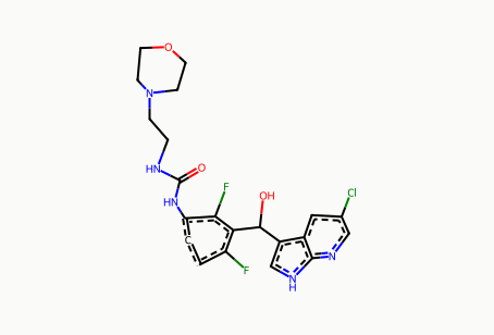 O=C(NCCN1CCOCC1)Nc1ccc(F)c(C(O)c2c[nH]c3ncc(Cl)cc23)c1F